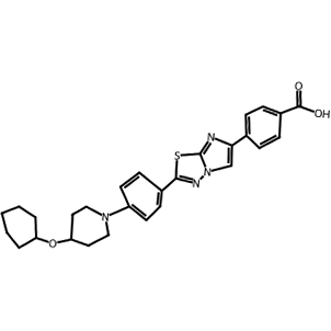 O=C(O)c1ccc(-c2cn3nc(-c4ccc(N5CCC(OC6CCCCC6)CC5)cc4)sc3n2)cc1